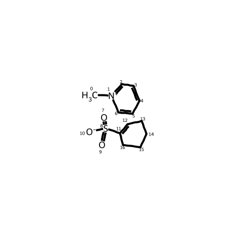 C[n+]1ccccc1.O=S(=O)([O-])C1=CCCCC1